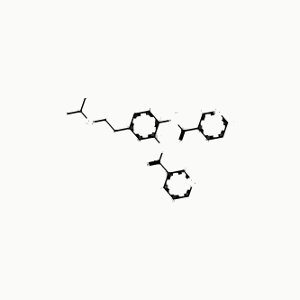 CC(C)NCCc1ccc(OC(=O)c2cccnc2)c(OC(=O)c2cccnc2)c1